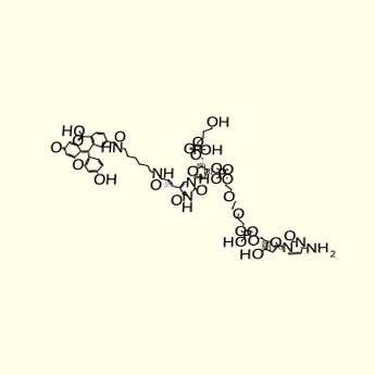 Nc1ccn([C@H]2C[C@@H](O)[C@@H](COP(=O)(O)OCCOCCOCCOP(=O)(O)O[C@@H]3C[C@H](n4cc(/C=C/C(=O)NCCCCCCNC(=O)c5ccc(C(=O)O)c(-c6c7ccc(=O)cc-7oc7cc(O)ccc67)c5)c(=O)[nH]c4=O)O[C@@H]3COP(=O)(O)OCCCO)O2)c(=O)n1